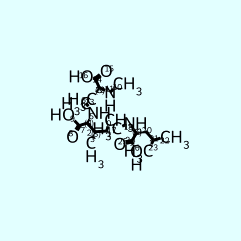 CC[C@H](C)[C@H](NC)C(=O)O.CN[C@@H](C)C(=O)O.CN[C@@H](CC(C)C)C(=O)O